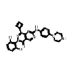 O=c1c2cnc(Nc3ccc(N4CCNCC4)cc3)nc2c(C2=CC=C2)nn1-c1c(Cl)cccc1Cl